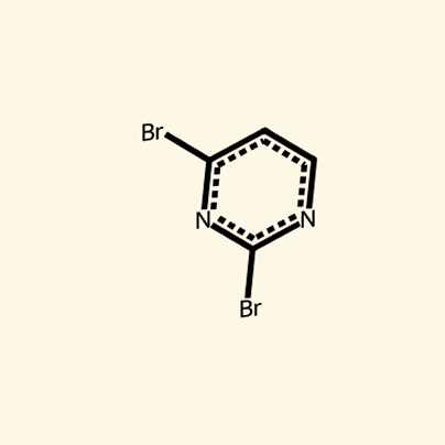 Brc1ccnc(Br)n1